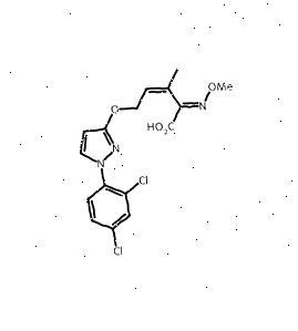 CO/N=C(C(=O)O)\C(C)=C/COc1ccn(-c2ccc(Cl)cc2Cl)n1